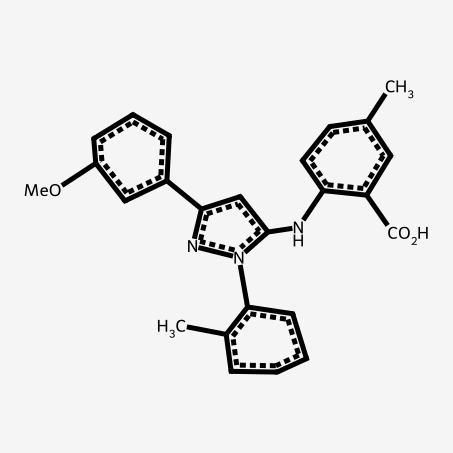 COc1cccc(-c2cc(Nc3ccc(C)cc3C(=O)O)n(-c3ccccc3C)n2)c1